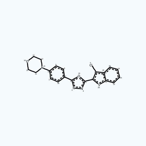 Clc1c(-c2nnc(-c3ccc(N4CCOCC4)cc3)o2)sc2ccccc12